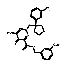 COc1cccc(CNC(=O)c2nn(CC3(c4cccc(C(F)(F)F)c4)CCCC3)cc(O)c2=O)c1